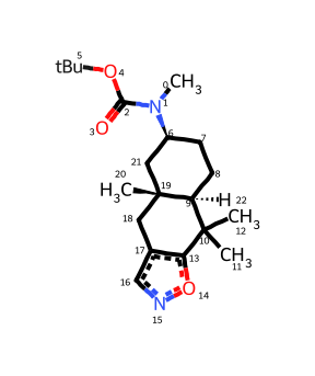 CN(C(=O)OC(C)(C)C)[C@H]1CC[C@H]2C(C)(C)c3oncc3C[C@]2(C)C1